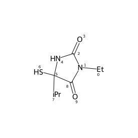 CCN1C(=O)NC(S)(C(C)C)C1=O